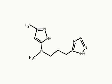 CN(CCCc1nnn[nH]1)c1cc(N)n[nH]1